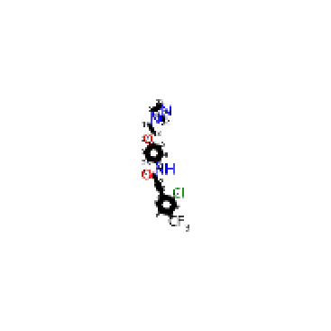 O=C(C#Cc1ccc(C(F)(F)F)cc1Cl)Nc1ccc(OCCn2ccnc2)cc1